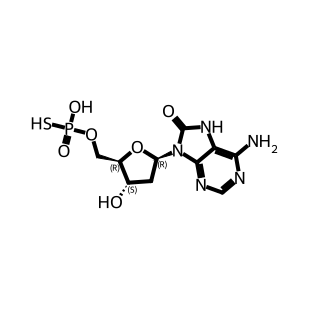 Nc1ncnc2c1[nH]c(=O)n2[C@H]1C[C@H](O)[C@@H](COP(=O)(O)S)O1